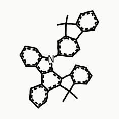 CC1(C)c2ccccc2-c2ccc(-n3c4ccccc4c4c5ccccc5c5c(c43)-c3ccccc3C5(C)C)cc21